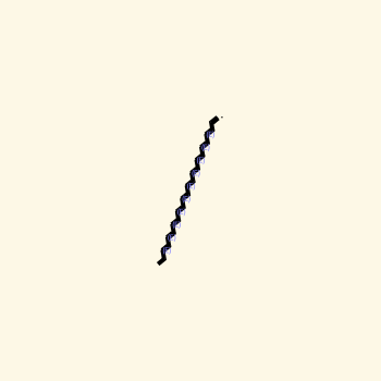 [CH]=C/C=C/C=C/C=C/C=C/C=C/C=C/C=C/C=C/C=C/C=C/CC